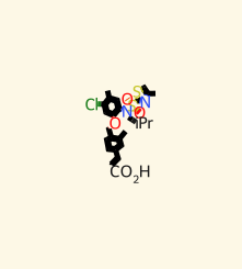 Cc1csc(S(=O)(=O)N(CC(C)C)c2cc(C)c(Cl)cc2OCc2ccc(/C=C/C(=O)O)cc2C)n1